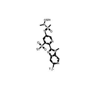 CCS(=O)(=O)c1cc(N=S(C)(=O)N(C)OC)cnc1-c1nc2cc(C(F)(F)F)ncc2n1C